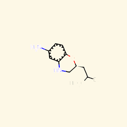 CCC(C[C@H]1CNc2cc(N)ccc2O1)C(=O)O